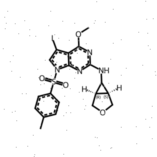 COc1nc(NC2[C@H]3COC[C@@H]23)nc2c1c(I)cn2S(=O)(=O)c1ccc(C)cc1